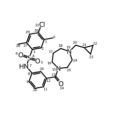 Cc1cc(S(=O)(=O)Nc2cccc(C(=O)N3CCCN(CC4CC4)CC3)c2)c(C)cc1Cl